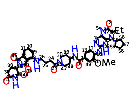 CC[C@@H]1C(=O)N(C)c2cnc(Nc3ccc(C(=O)NC4CCN(C(=O)CCCNc5cccc6c5C(=O)N(C5CCC(=O)NC5=O)C6=O)CC4)cc3OC)nc2N1C1CCCC1